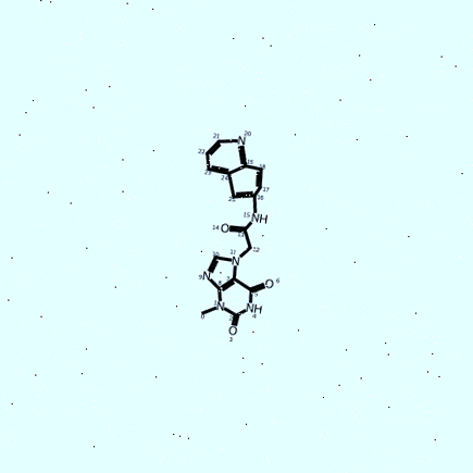 Cn1c(=O)[nH]c(=O)c2c1ncn2CC(=O)Nc1ccc2ncccc2c1